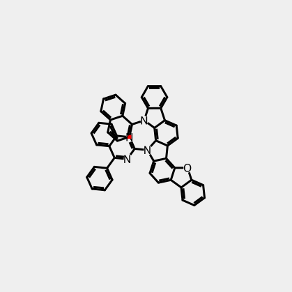 c1ccc(-c2nc(-n3c4ccc5c6ccccc6oc5c4c4ccc5c6ccccc6n(-c6cccc7ccccc67)c5c43)nc3ccccc23)cc1